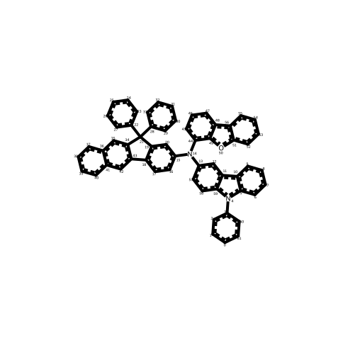 c1ccc(-n2c3ccccc3c3cc(N(c4ccc5c(c4)C(c4ccccc4)(c4ccccc4)c4cc6ccccc6cc4-5)c4cccc5c4oc4ccccc45)ccc32)cc1